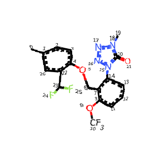 Cc1ccc(OCc2c(OC(F)(F)F)cccc2-n2nnn(C)c2=O)c(C(F)F)c1